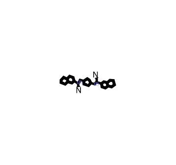 N#C/C(=C\c1ccc(/C=C(\C#N)c2ccc3ccccc3c2)cc1)c1ccc2ccccc2c1